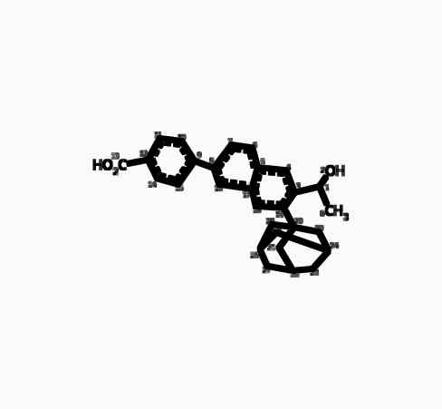 CC(O)c1cc2ccc(-c3ccc(C(=O)O)cc3)cc2cc1C12CC3CC(CC(C3)C1)C2